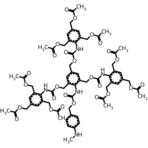 CNc1ccc(COC(=O)Nc2c(COC(=O)Nc3c(COC(C)=O)cc(COC(C)=O)cc3COC(C)=O)cc(COC(=O)Nc3c(COC(C)=O)cc(COC(C)=O)cc3COC(C)=O)cc2COC(=O)Nc2c(COC(C)=O)cc(COC(C)=O)cc2COC(C)=O)cc1